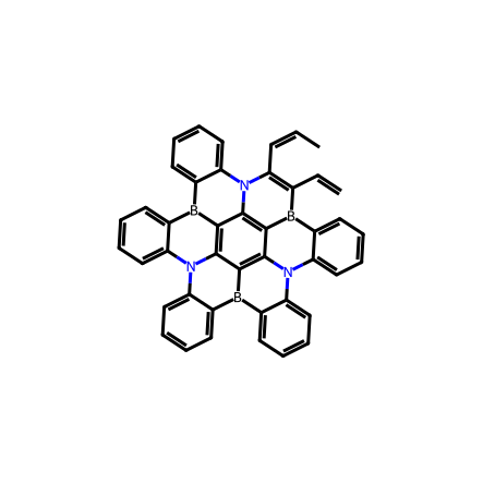 C=CC1=C(/C=C\C)N2c3ccccc3B3c4ccccc4N4c5ccccc5B5c6ccccc6N6c7ccccc7B1c1c2c3c4c5c16